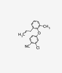 C=CCc1cccc(C)c1Oc1ccc(C#N)c(Cl)c1